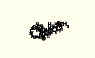 CN1CCc2ccc(Nc3ncc4c(=O)n5n(c4n3)-c3cccc(n3)OCCCC/C=C/C5)cc2C12CC2